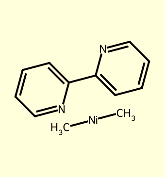 [CH3][Ni][CH3].c1ccc(-c2ccccn2)nc1